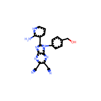 N#Cc1nc2nc(-c3cccnc3N)n(-c3ccc(CO)cc3)c2nc1C#N